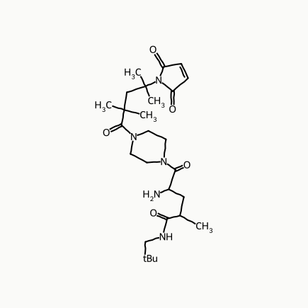 CC(CC(N)C(=O)N1CCN(C(=O)C(C)(C)CC(C)(C)N2C(=O)C=CC2=O)CC1)C(=O)NCC(C)(C)C